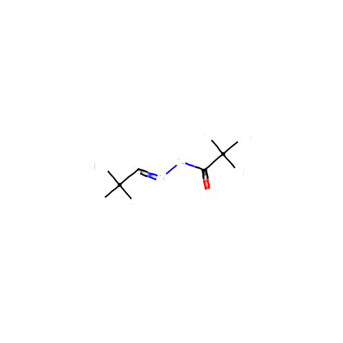 CC(C)(C)C=NNC(=O)C(C)(C)C